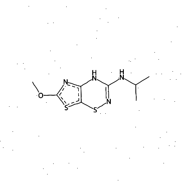 COc1nc2c(s1)SN=C(NC(C)C)N2